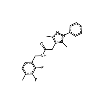 Cc1ccc(CNC(=O)Cc2c(C)nn(-c3ccccc3)c2C)c(F)c1F